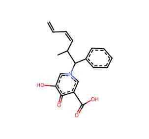 C=C/C=C\C(C)C(c1ccccc1)n1cc(O)c(=O)c(C(=O)O)c1